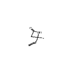 C=CC1(C)CC(=O)N1